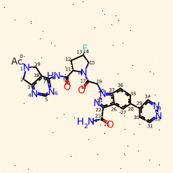 CC(=O)N1Cc2ncnc(NC(=O)C3CC(F)CN3C(=O)Cn3nc(C(N)=O)c4cc(-c5ccnnc5)ccc43)c2C1